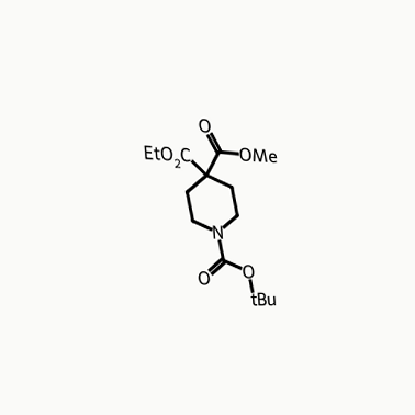 CCOC(=O)C1(C(=O)OC)CCN(C(=O)OC(C)(C)C)CC1